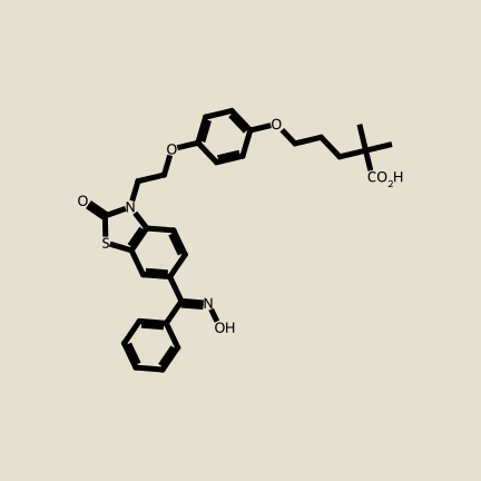 CC(C)(CCCOc1ccc(OCCn2c(=O)sc3cc(C(=NO)c4ccccc4)ccc32)cc1)C(=O)O